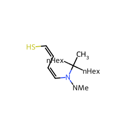 CCCCCCC(C)(CCCCCC)N(/C=C\C=C/S)NC